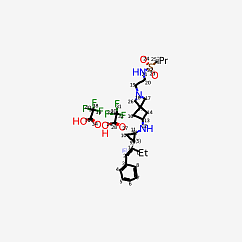 CC/C(=C\c1ccccc1)[C@@H]1C[C@H]1NC1CC2(C1)CN(CCNS(=O)(=O)C(C)C)C2.O=C(O)C(F)(F)F.O=C(O)C(F)(F)F